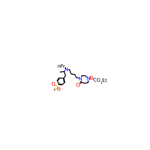 CCCN(CCCCN1CCN(OC(=O)OCC)CCC1=O)C(C)Cc1ccc(S(C)(=O)=O)cc1